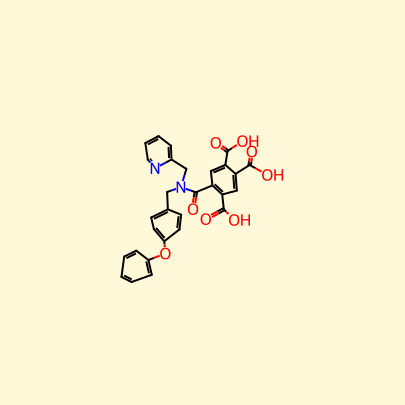 O=C(O)c1cc(C(=O)O)c(C(=O)N(Cc2ccc(Oc3ccccc3)cc2)Cc2ccccn2)cc1C(=O)O